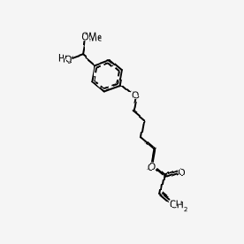 C=CC(=O)OCCCCOc1ccc(C(O)OC)cc1